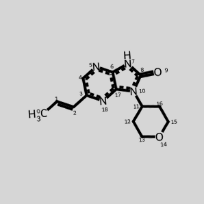 C/C=C/c1cnc2[nH]c(=O)n(C3CCOCC3)c2n1